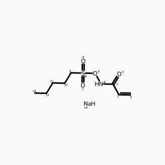 C=CC(=O)NOS(=O)(=O)CCCCC.[NaH]